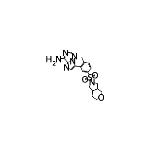 Cc1ccc(S(=O)(=O)N2CC3CCOCC3C2)cc1-c1cnc2c(N)ncnn12